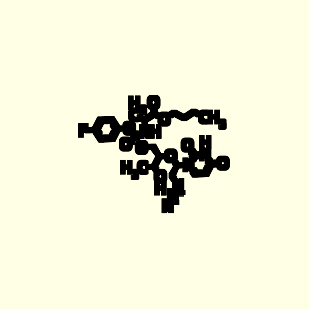 CCCCOC(=O)[C@H](C)NP(=O)(OC[C@@H](O[C@H](CN=[N+]=[N-])n1ccc(=O)[nH]c1=O)[C@H](C)O)Oc1ccc(F)cc1